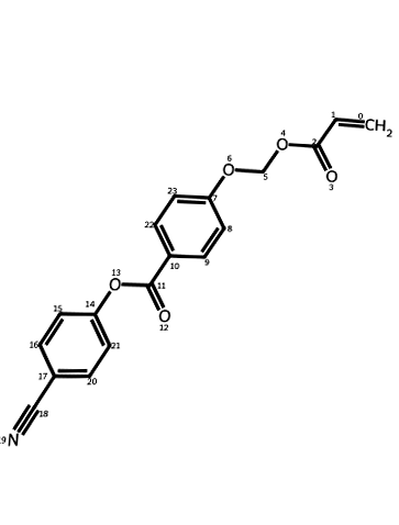 C=CC(=O)OCOc1ccc(C(=O)Oc2ccc(C#N)cc2)cc1